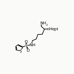 CCCCCCCC(CN)CCCCNS(=O)(=O)c1cccs1